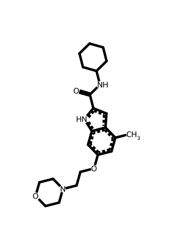 Cc1cc(OCCN2CCOCC2)cc2[nH]c(C(=O)NC3CCCCC3)cc12